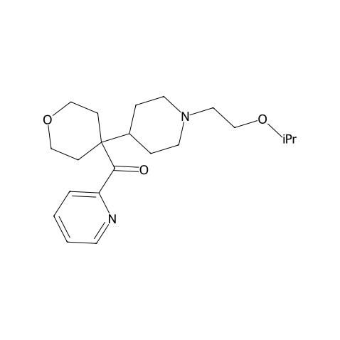 CC(C)OCCN1CCC(C2(C(=O)c3ccccn3)CCOCC2)CC1